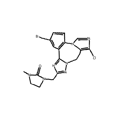 CN1CCN(Cc2nc3n(n2)Cc2c(Cl)ncn2-c2ccc(Br)cc2-3)C1=O